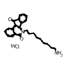 Cl.NCCCCCCCCCn1c2c(c3ccccc3c1=O)C(=O)c1ccccc1-2